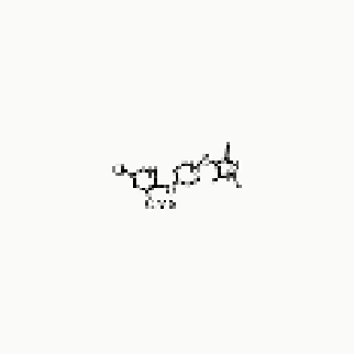 COc1cc(Cl)cnc1OC1CCN(Sc2c(C)nn(C)c2C)CC1